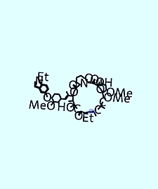 CCC1/C=C(\C)CC(C)CC(OC)C2OC(O)(C(=O)C(=O)N3CCCCC3C(=O)OC(C(C)=CC3CCC(Oc4ccc5c(ccn5CC)c4)C(OC)C3)C(C)C(O)CC1=O)C(C)CC2OC